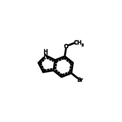 COc1cc(Br)cc2cc[nH]c12